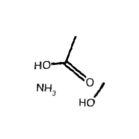 CC(=O)O.CO.N